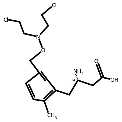 Cc1ccc(CON(CCCl)CCCl)cc1C[C@H](N)CC(=O)O